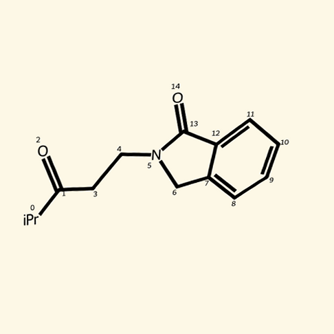 CC(C)C(=O)CCN1Cc2ccccc2C1=O